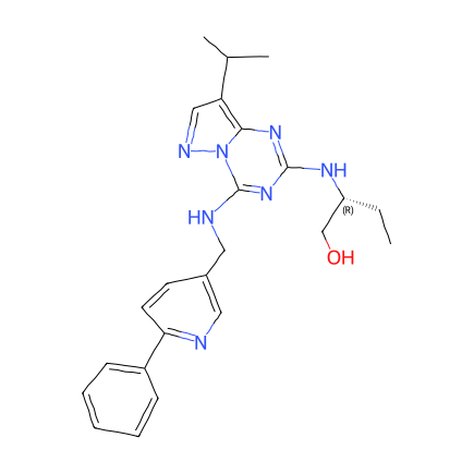 CC[C@H](CO)Nc1nc(NCc2ccc(-c3ccccc3)nc2)n2ncc(C(C)C)c2n1